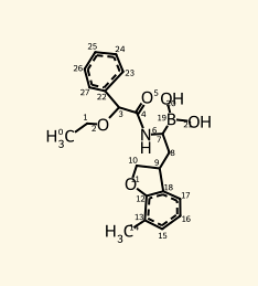 CCOC(C(=O)NC(CC1COc2c(C)cccc21)B(O)O)c1ccccc1